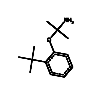 CC(C)(N)Oc1ccccc1C(C)(C)C